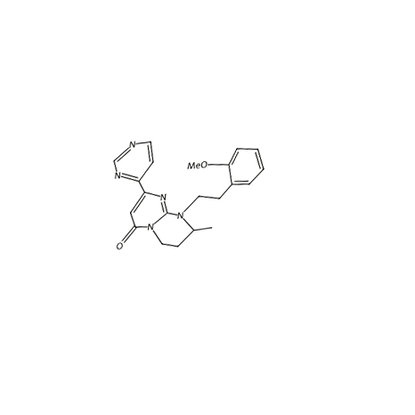 COc1ccccc1CCN1c2nc(-c3ccncn3)cc(=O)n2CCC1C